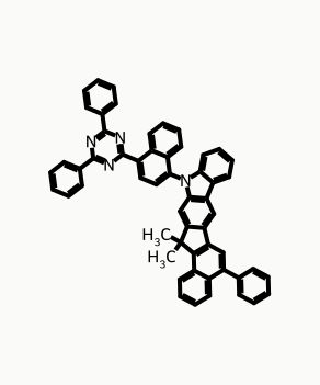 CC1(C)c2cc3c(cc2-c2cc(-c4ccccc4)c4ccccc4c21)c1ccccc1n3-c1ccc(-c2nc(-c3ccccc3)nc(-c3ccccc3)n2)c2ccccc12